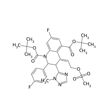 Cn1ncnc1C1C(=CCOS(C)(=O)=O)c2c(C(=O)OC(C)(C)C)cc(F)cc2N(C(=O)OC(C)(C)C)C1c1ccc(F)cc1